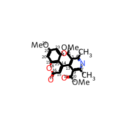 COC(=O)c1c(C)nc(C)c(C(=O)OC)c1-c1cc(=O)oc2cc(OC)ccc12